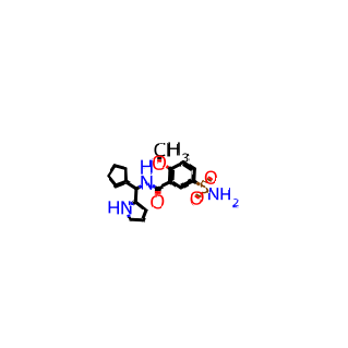 COc1ccc(S(N)(=O)=O)cc1C(=O)NC(C1CCCC1)C1CCCN1